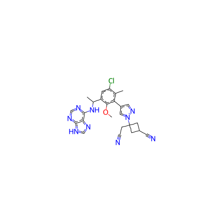 COc1c(C(C)Nc2ncnc3[nH]cnc23)cc(Cl)c(C)c1-c1cnn(C2(CC#N)CC(C#N)C2)c1